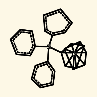 c1ccc([Si](c2ccccc2)(c2ccccc2)[C]23[CH]4[CH]5[CH]6[CH]2[Fe]56432789[CH]3[CH]2[CH]7[CH]8[CH]39)cc1